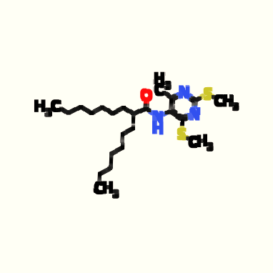 CCCCCCCC(CCCCCCC)C(=O)Nc1c(C)nc(SC)nc1SC